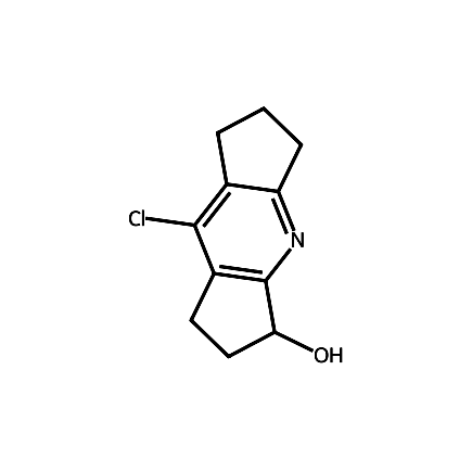 OC1CCc2c1nc1c(c2Cl)CCC1